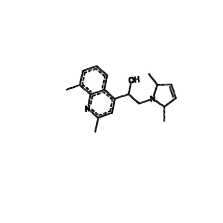 Cc1cc(C(O)CN2C(C)C=CC2C)c2cccc(C)c2n1